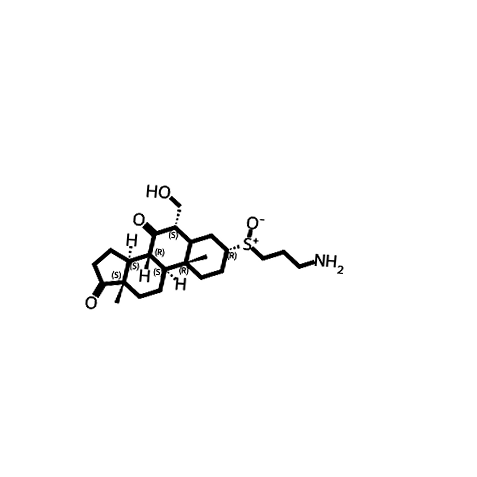 C[C@]12CC[C@@H]([S+]([O-])CCCN)CC1[C@@H](CO)C(=O)[C@@H]1[C@@H]2CC[C@]2(C)C(=O)CC[C@@H]12